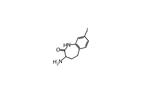 NC1CCc2ccc(I)cc2NC1=O